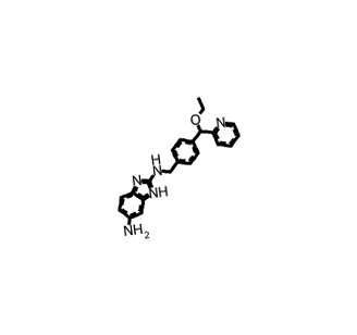 CCOC(c1ccc(CNc2nc3ccc(N)cc3[nH]2)cc1)c1ccccn1